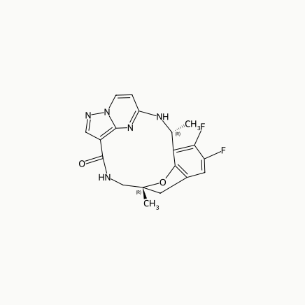 C[C@H]1Nc2ccn3ncc(c3n2)C(=O)NC[C@@]2(C)Cc3cc(F)c(F)c1c3O2